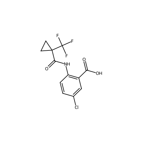 O=C(O)c1cc(Cl)ccc1NC(=O)C1(C(F)(F)F)CC1